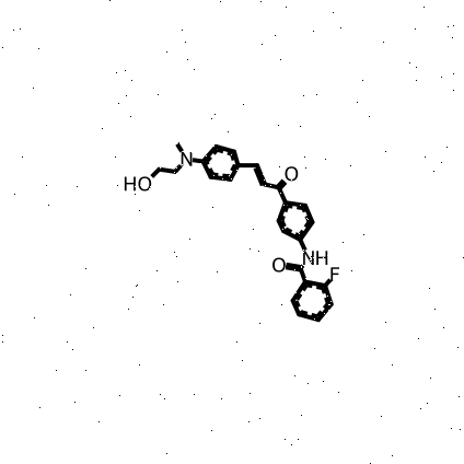 CN(CCO)c1ccc(/C=C/C(=O)c2ccc(NC(=O)c3ccccc3F)cc2)cc1